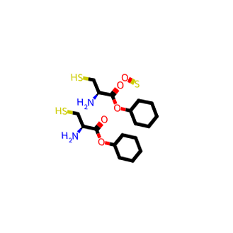 N[C@@H](CS)C(=O)OC1CCCCC1.N[C@@H](CS)C(=O)OC1CCCCC1.O=S